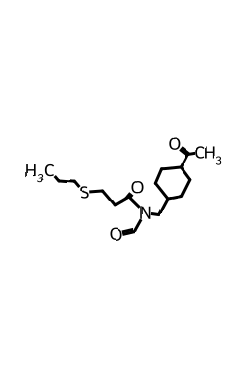 CCCSCCC(=O)N(C=O)CC1CCC(C(C)=O)CC1